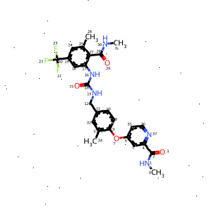 CNC(=O)c1cc(Oc2ccc(CNC(=O)Nc3cc(C(F)(F)F)cc(C)c3C(=O)NC)cc2C)ccn1